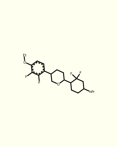 CCCC1CCC(C2CCC(c3ccc(OCC)c(F)c3F)CO2)C(F)(F)C1